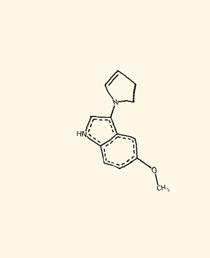 COc1ccc2[nH]cc(N3C=CCC3)c2c1